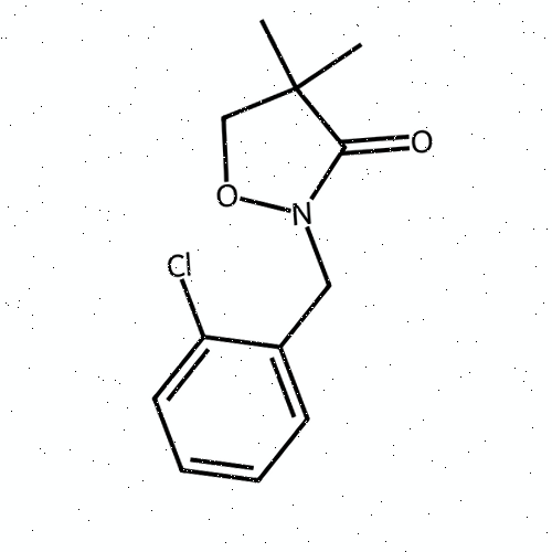 CC1(C)CON(Cc2ccccc2Cl)C1=O